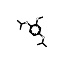 COc1cc(OC(C)C)ccc1OC(C)C